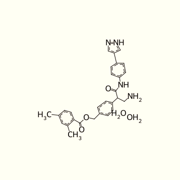 Cc1ccc(C(=O)OCc2ccc(C(CN)C(=O)Nc3ccc(-c4cn[nH]c4)cc3)cc2)c(C)c1.O.O